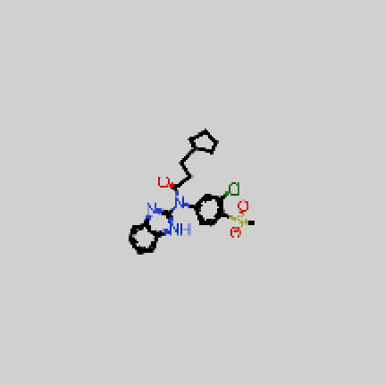 CS(=O)(=O)c1ccc(N(C(=O)CCC2CCCC2)c2nc3ccccc3[nH]2)cc1Cl